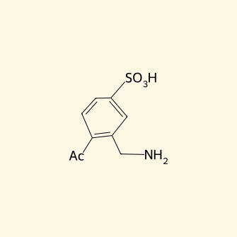 CC(=O)c1ccc(S(=O)(=O)O)cc1CN